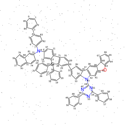 c1ccc(-c2ccc(N(c3ccc4c(c3)[Si](c3ccccc3)(c3ccccc3)c3cc(-c5ccc6c(c5)c5cc7c(cc5n6-c5nc(-c6ccccc6)nc(-c6ccccc6)n5)oc5ccccc57)ccc3-4)c3ccc4ccccc4c3)cc2)cc1